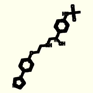 CS(=O)(=O)Nc1ccc([C@@H](O)CNCCOc2ccc(-n3ccnc3)cc2)cc1